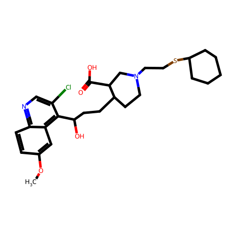 COc1ccc2ncc(Cl)c(C(O)CCC3CCN(CCSC4CCCCC4)CC3C(=O)O)c2c1